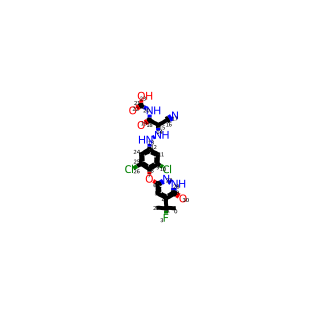 CC(C)(F)c1cc(Oc2c(Cl)cc(NNC(C#N)C(=O)NC(=O)O)cc2Cl)n[nH]c1=O